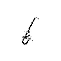 CCCCC/C=C\C/C=C\C/C=C\CCCCC(=O)N[C@@H](CCCCNC(=O)CCCCCCCCCCCCCCCCC)C(C)C